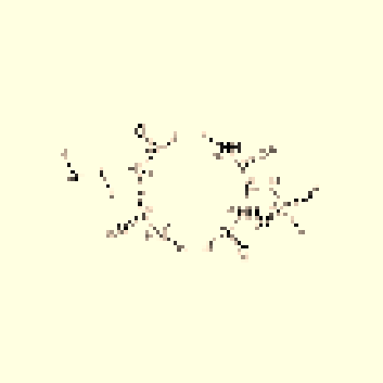 CSCC[C@@H]1NC(=O)CCNC(=O)[C@H](CS(C)(=O)=O)NC(=O)CCNC1=O